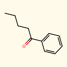 CCCCC(=O)c1c[c]ccc1